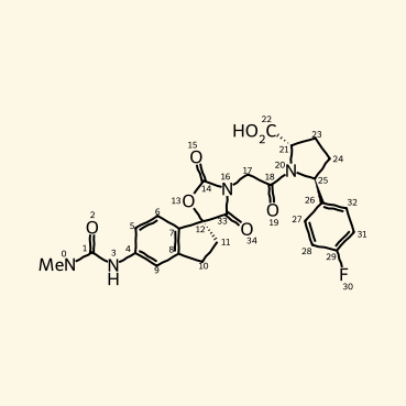 CNC(=O)Nc1ccc2c(c1)CC[C@@]21OC(=O)N(CC(=O)N2[C@H](C(=O)O)CC[C@H]2c2ccc(F)cc2)C1=O